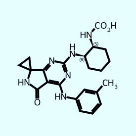 Cc1cccc(Nc2nc(N[C@@H]3CCCC[C@@H]3NC(=O)O)nc3c2C(=O)NC32CC2)c1